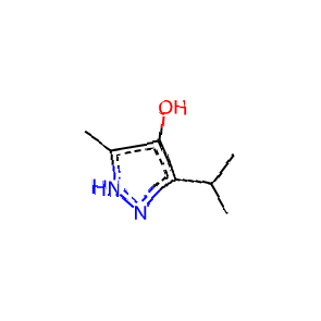 Cc1[nH]nc(C(C)C)c1O